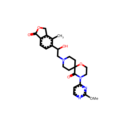 COc1nccc(N2CCOC3(CCN(CC(O)c4ccc5c(c4C)COC5=O)CC3)C2=O)n1